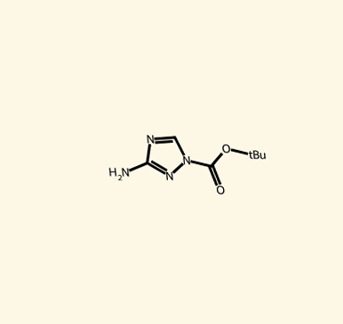 CC(C)(C)OC(=O)n1cnc(N)n1